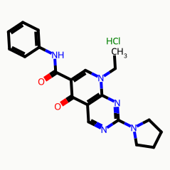 CCn1cc(C(=O)Nc2ccccc2)c(=O)c2cnc(N3CCCC3)nc21.Cl